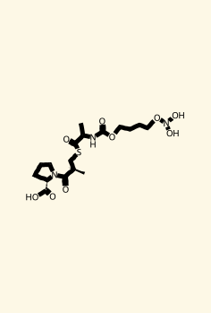 CC(NC(=O)OCCCCON(O)O)C(=O)SC[C@@H](C)C(=O)N1CCC[C@H]1C(=O)O